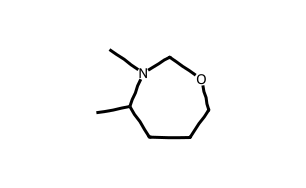 CC1CCCOCN1C